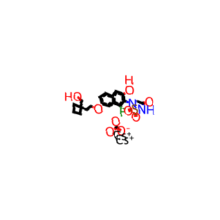 O=C([O-])[O-].O=C1CN(c2c(O)cc3ccc(OCCC4(CO)CCC4)cc3c2F)S(=O)(=O)N1.[Cs+].[Cs+]